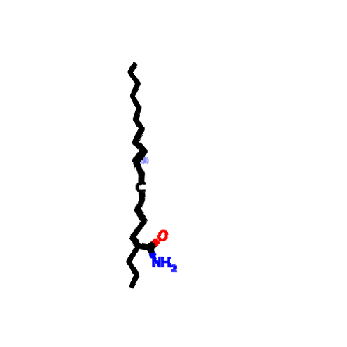 CCCCCCCC/C=C/CCCCCCC(CCC)C(N)=O